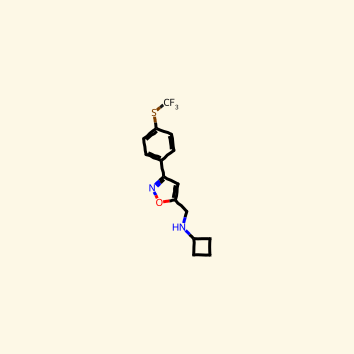 FC(F)(F)Sc1ccc(-c2cc(CNC3CCC3)on2)cc1